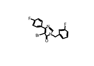 O=c1c(Br)c(-c2ccc(F)cc2)ncn1Cc1cccc(F)c1